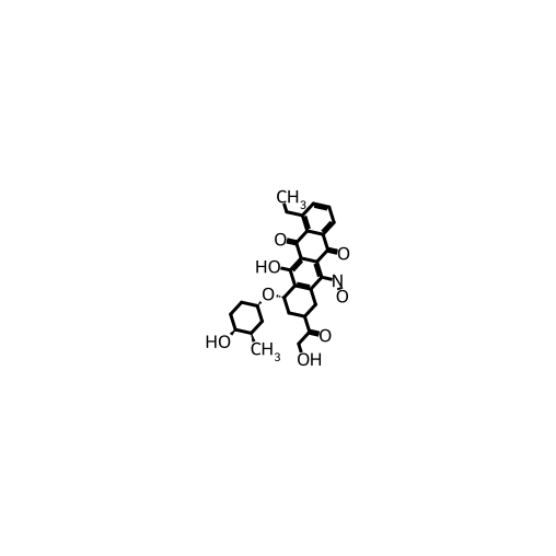 CCc1cccc2c1C(=O)c1c(O)c3c(c(N=O)c1C2=O)CC(C(=O)CO)C[C@@H]3O[C@H]1CC[C@H](O)[C@H](C)C1